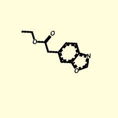 CCOC(=O)Cc1ccc2ncoc2c1